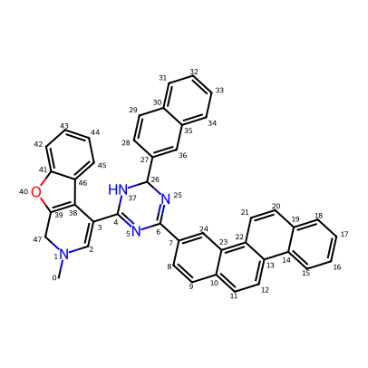 CN1C=C(C2=NC(c3ccc4ccc5c6ccccc6ccc5c4c3)=NC(c3ccc4ccccc4c3)N2)c2c(oc3ccccc23)C1